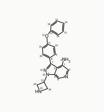 Nc1cncc2c1c(-c1ccc(Oc3ccccc3)cc1)nn2C1CNC1